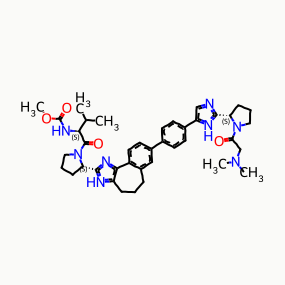 COC(=O)N[C@H](C(=O)N1CCC[C@H]1c1nc2c([nH]1)CCCc1cc(-c3ccc(-c4cnc([C@@H]5CCCN5C(=O)CN(C)C)[nH]4)cc3)ccc1-2)C(C)C